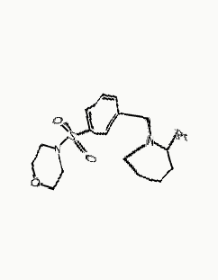 CC(C)C1CCCCN1Cc1cccc(S(=O)(=O)N2CCOCC2)c1